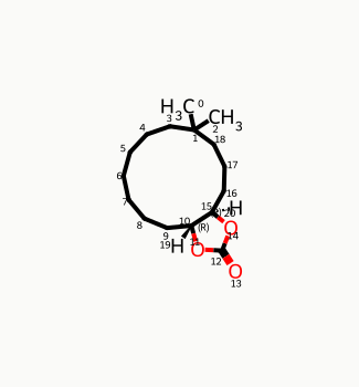 CC1(C)CCCCCCC[C@H]2OC(=O)O[C@@H]2CCC1